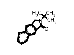 CC(C)(C)N1Cc2cc3ccccc3cc2C1=O